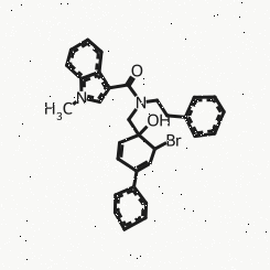 Cn1cc(C(=O)N(CCc2ccccc2)CC2(O)C=CC(c3ccccc3)=CC2Br)c2ccccc21